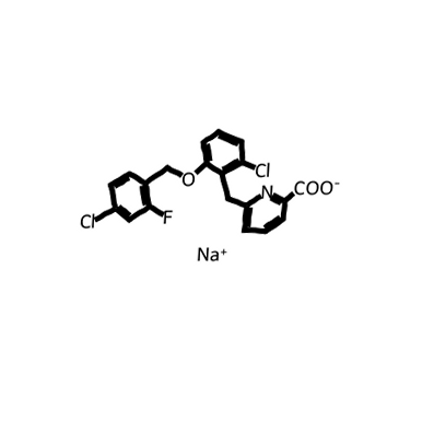 O=C([O-])c1cccc(Cc2c(Cl)cccc2OCc2ccc(Cl)cc2F)n1.[Na+]